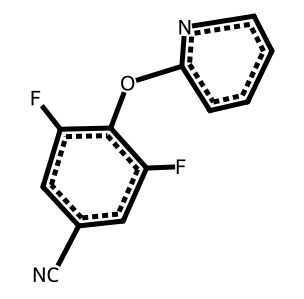 N#Cc1cc(F)c(Oc2ccccn2)c(F)c1